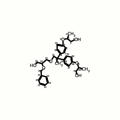 CC(CO)Oc1ccc(C(C)(COCC(CO)OCc2ccccc2)c2ccc(OC(C)CO)cc2)cc1